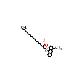 CCCCCCCCCCCCCCCCC(CC(=O)Oc1c2ccccc2cc2c(CC)cccc12)C(=O)O